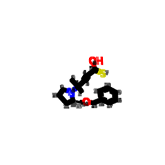 CC(C)(C#CC(O)=S)N1CCC[C@H]1COCc1ccccc1